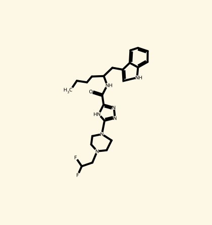 CCCCC(Cc1c[nH]c2ccccc12)NC(=O)c1nnc(N2CCN(CC(F)F)CC2)[nH]1